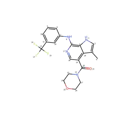 Cc1c[nH]c2c(Nc3cccc(C(F)(F)F)c3)ncc(C(=O)N3CCOCC3)c12